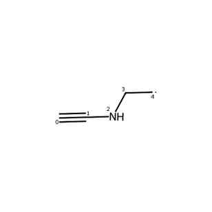 C#CNC[CH2]